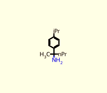 CCCC(C)(N)c1ccc(C(C)C)cc1